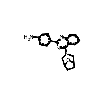 Nc1ccc(-c2nc(N3CC4CCC(C3)O4)c3ccccc3n2)cc1